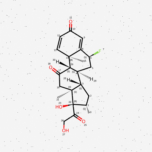 C[C@H]1C[C@H]2[C@@H]3C[C@H](F)C4=CC(=O)C=C[C@]4(C)[C@H]3C(=O)C[C@]2(C)[C@@]1(O)C(=O)CO